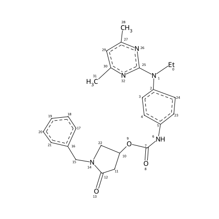 CCN(c1ccc(NC(=O)OC2CC(=O)N(Cc3ccccc3)C2)cc1)c1nc(C)cc(C)n1